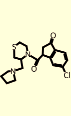 O=C1CC(C(=O)N2CCSCC2CN2CCCC2)c2cc(Cl)ccc21